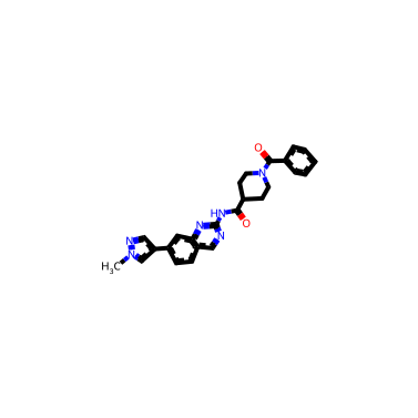 Cn1cc(-c2ccc3cnc(NC(=O)C4CCN(C(=O)c5ccccc5)CC4)nc3c2)cn1